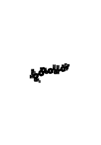 C[C@@H]1CN(c2ccc3c(Oc4ccc(NC(O)NCc5ccc(C(F)(F)F)nc5)cc4)ncnc3c2)C[C@H](C)N1